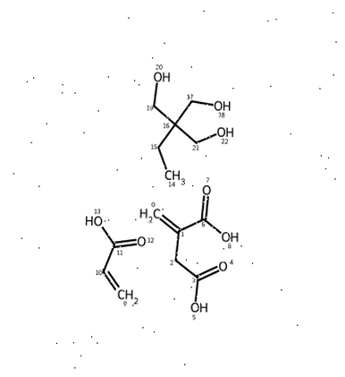 C=C(CC(=O)O)C(=O)O.C=CC(=O)O.CCC(CO)(CO)CO